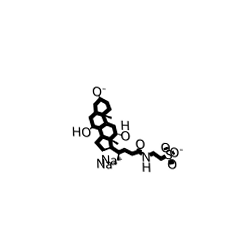 C[C@H](CCC(=O)NCCS(=O)(=O)[O-])[C@H]1CCC2C3C(C[C@H](O)[C@@]21C)[C@@]1(C)CC[C@@H]([O-])CC1C[C@H]3O.[Na+].[Na+]